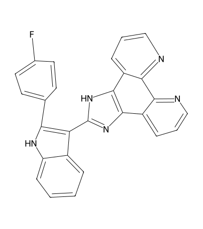 Fc1ccc(-c2[nH]c3ccccc3c2-c2nc3c4cccnc4c4ncccc4c3[nH]2)cc1